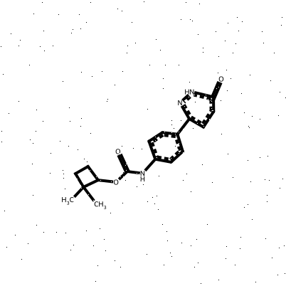 CC1(C)CCC1OC(=O)Nc1ccc(-c2ccc(=O)[nH]n2)cc1